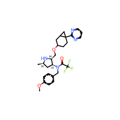 COc1ccc(CN(C(=O)C(F)(F)F)[C@H]2C[C@@H](C)N[C@H]2COC2CCC3(c4ncccn4)CC3C2)cc1